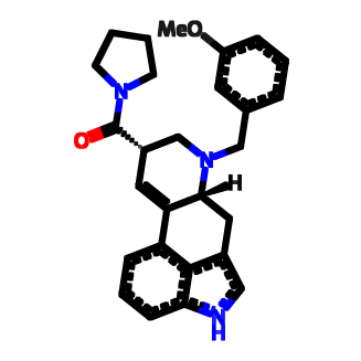 COc1cccc(CN2C[C@@H](C(=O)N3CCCC3)C=C3c4cccc5[nH]cc(c45)C[C@H]32)c1